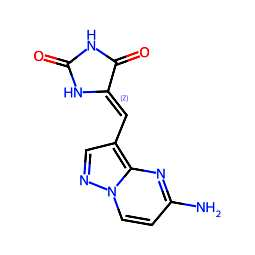 Nc1ccn2ncc(/C=C3\NC(=O)NC3=O)c2n1